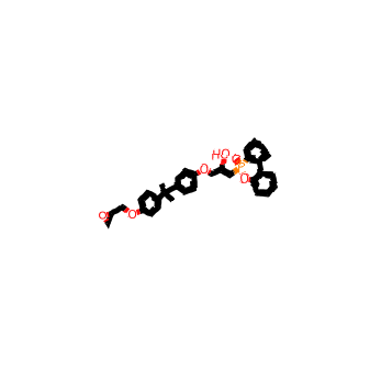 CC(C)(c1ccc(OCC(O)CP2(=O)Oc3ccccc3-c3ccccc32)cc1)c1ccc(OCC2CO2)cc1